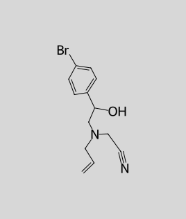 C=CCN(CC#N)CC(O)c1ccc(Br)cc1